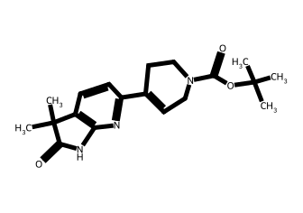 CC(C)(C)OC(=O)N1CC=C(c2ccc3c(n2)NC(=O)C3(C)C)CC1